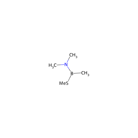 CSB(C)N(C)C